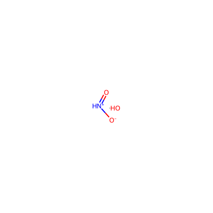 O=[NH+][O-].[OH]